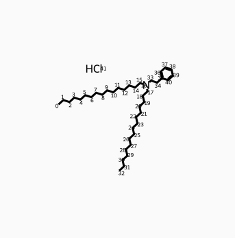 CCCCCCCCCCCCCCCCN(CCCCCCCCCCCCCCCC)CCc1ccccc1.Cl